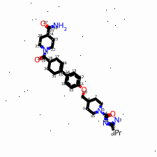 CC(C)c1noc(N2CCC(COc3ccc(C4=CCC(C(=O)N5CCC(C(N)=O)CC5)CC4)cc3)CC2)n1